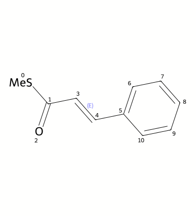 CSC(=O)/C=C/c1ccccc1